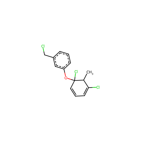 CC1C(Cl)=CC=CC1(Cl)Oc1cccc(CCl)c1